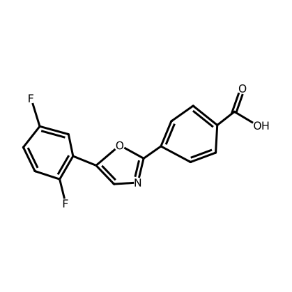 O=C(O)c1ccc(-c2ncc(-c3cc(F)ccc3F)o2)cc1